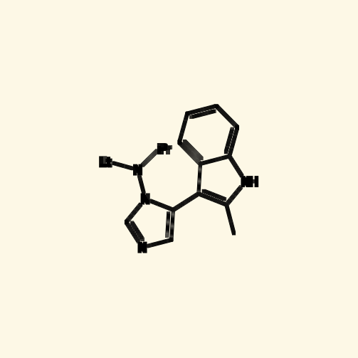 CCN(C(C)C)n1cncc1-c1c(C)[nH]c2ccccc12